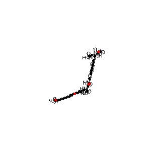 O=CNCC(=O)N[C@@H](CCC(=O)O)C(=O)NCCCOCCOCCOCCCNC(=O)CC[C@H](NC(=O)CCCCCCCCCCCCCCCCCCC(=O)O)C(=O)O